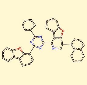 c1ccc(-c2nc(-c3cccc4c3oc3ccccc34)nc(-c3ncc(-c4cccc5ccccc45)c4oc5ccccc5c34)n2)cc1